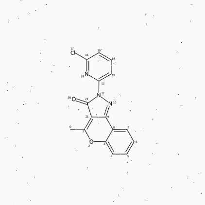 Cc1oc2ccccc2c2nn(-c3cccc(Cl)n3)c(=O)c1-2